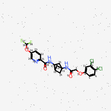 O=C(COc1ccc(Cl)c(Cl)c1)NC12CC(C1)C(NC(=O)c1ccc(OC(F)F)cn1)C2